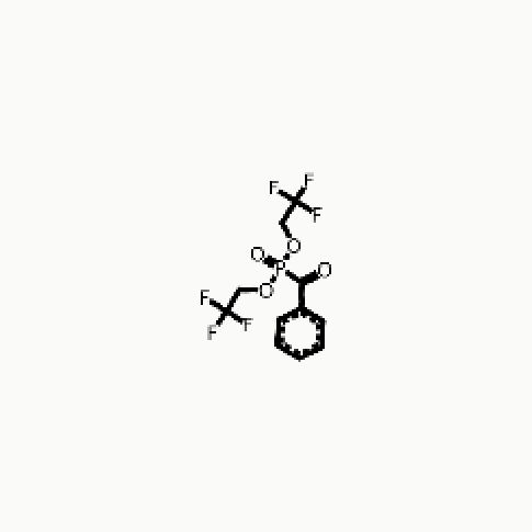 O=C(c1ccccc1)P(=O)(OCC(F)(F)F)OCC(F)(F)F